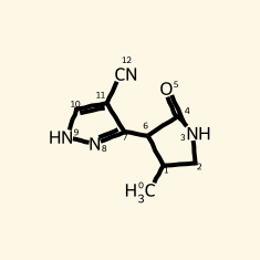 CC1CNC(=O)C1c1n[nH]cc1C#N